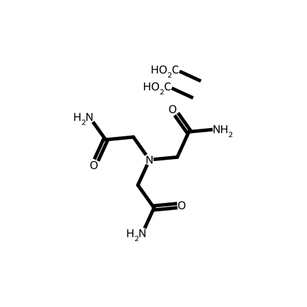 CC(=O)O.CC(=O)O.NC(=O)CN(CC(N)=O)CC(N)=O